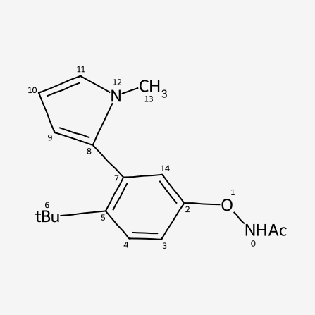 CC(=O)NOc1ccc(C(C)(C)C)c(-c2cccn2C)c1